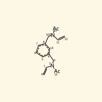 C=CN(Cc1cccc(CN(C=C)C(C)=O)c1)C(C)=O